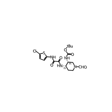 CC(C)(C)OC(=O)N[C@@H]1CN(C=O)CC[C@@H]1NC(=O)C(=O)Nc1ccc(Cl)s1